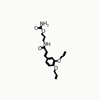 C=CCOc1ccc(C=CC(=O)NCCCOC(N)=O)cc1OCC=C